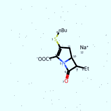 CCCCSC1=C(C(=O)[O-])N2C(=O)C(CC)C2C1.[Na+]